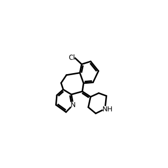 Clc1cccc2c1CCc1cccnc1C2=C1CCNCC1